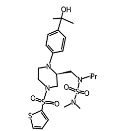 CC(C)N(C[C@H]1CN(S(=O)(=O)c2cccs2)CCN1c1ccc(C(C)(C)O)cc1)S(=O)(=O)N(C)C